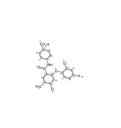 Cc1cc(C(=O)Nc2ccc(C(=O)O)cc2)c(Oc2ccc(F)cc2Cl)cc1Cl